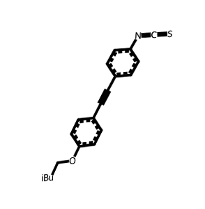 CCC(C)COc1ccc(C#Cc2ccc(N=C=S)cc2)cc1